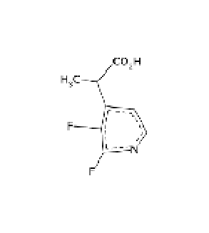 CC(C(=O)O)c1ccnc(F)c1F